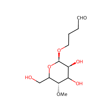 CO[C@@H]1C(CO)O[C@@H](OCCCC=O)[C@@H](O)C1O